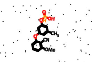 COc1cccc(Oc2cc(C)cc(O[PH](=O)O)c2)c1C#N